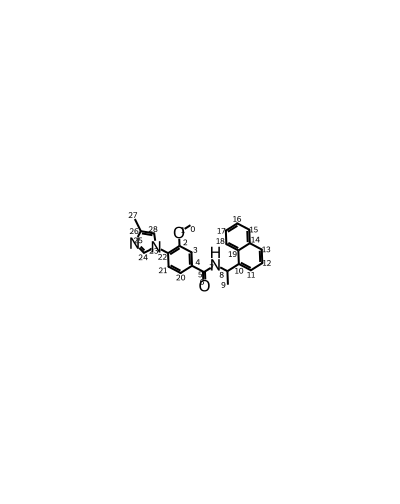 COc1cc(C(=O)NC(C)c2cccc3ccccc23)ccc1-n1cnc(C)c1